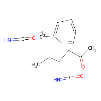 CCCCC(C)=O.Cc1ccccc1.N=C=O.N=C=O